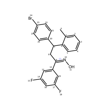 Cc1ccccc1C(C/C(=N/O)c1cc(F)cc(F)c1)c1ccc(Br)cc1